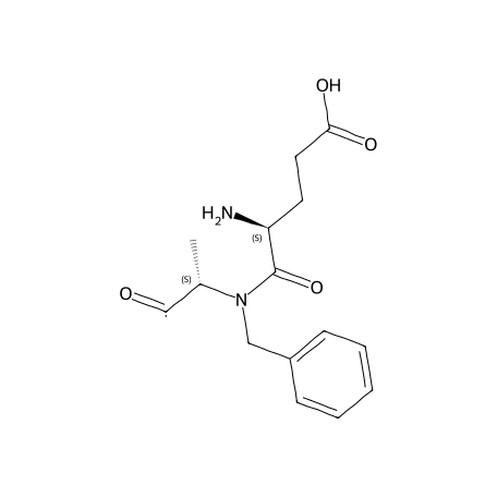 C[C@@H]([C]=O)N(Cc1ccccc1)C(=O)[C@@H](N)CCC(=O)O